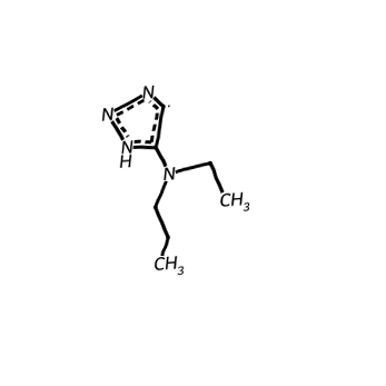 CCCN(CC)c1[c]nn[nH]1